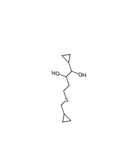 OC(CCSCC1CC1)C(O)C1CC1